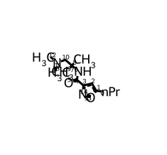 CCCc1cc(C(=O)NC(C)(C)CN(C)C)no1